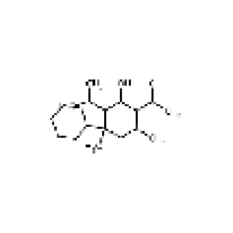 CC(C)C1C(C)CC(C)(C2CCCCC2)C(C(C)C)C1O